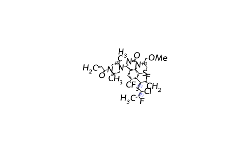 C=CC(=O)N1C[C@H](C)N(c2nc(=O)n3c4c(c(/C(=C/C(Cl)=C(\C)F)C(=C)F)c(C(F)(F)F)cc24)SC[C@@H]3COC)C[C@H]1C